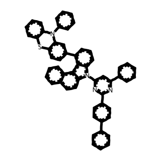 c1ccc(-c2ccc(-c3nc(-c4ccccc4)cc(-n4c5cccc(-c6ccc7c(c6)N(c6ccccc6)c6ccccc6S7)c5c5c6ccccc6ccc54)n3)cc2)cc1